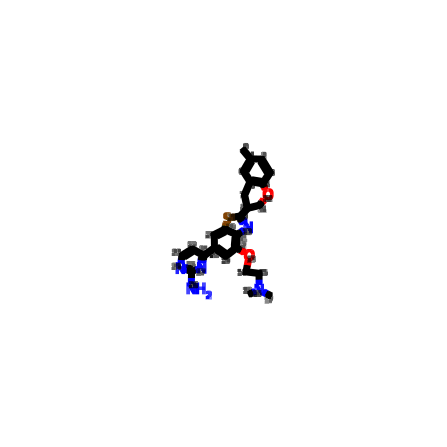 Cc1ccc2c(c1)CC(c1nc3c(OCCN(C)C)cc(-c4ccnc(N)n4)cc3s1)CO2